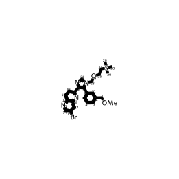 COCc1cccc(-c2c(-c3ccc4ncc(Br)cc4n3)ncn2COCCS(C)(C)C)c1